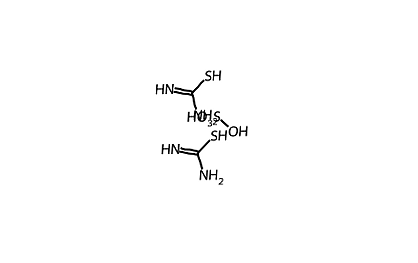 N=C(N)S.N=C(N)S.O=S(=O)(O)O